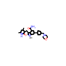 Cc1cc(C)c(Cc2cn(C(C)C)c3cc(-c4ccc(CN5CCOCC5)cc4)cc(C(N)=O)c23)c(=O)[nH]1